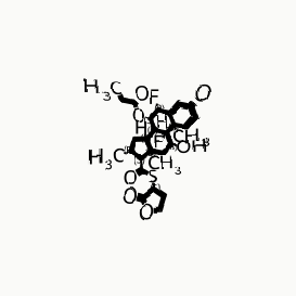 CCC(=O)O[C@H]1[C@H]2[C@@H]3C[C@@H](C)[C@H](C(=O)S[C@H]4CCOC4=O)[C@@]3(C)C[C@H](O)[C@]2(F)[C@@]2(C)C=CC(=O)C=C2[C@H]1F